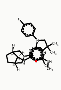 CNc1nc(N[C@@H]2[C@@H]3CC[C@H]2CN(c2cc(Cl)ncn2)C3)nc2c1C(C)(C)CN2c1ccc(F)cc1